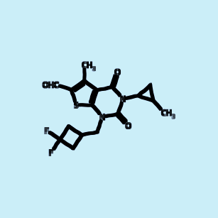 Cc1c(C=O)sc2c1c(=O)n(C1CC1C)c(=O)n2CC1CC(F)(F)C1